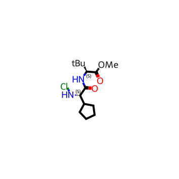 COC(=O)[C@@H](NC(=O)[C@@H](NCl)C1CCCC1)C(C)(C)C